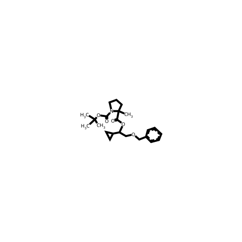 CC(C)(C)OC(=O)N1CCCC1(C)C(=O)OC(COCc1ccccc1)C1CC1